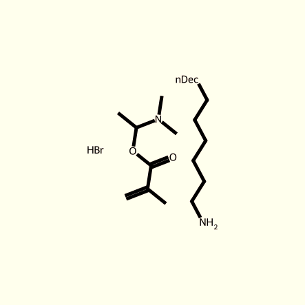 Br.C=C(C)C(=O)OC(C)N(C)C.CCCCCCCCCCCCCCCCN